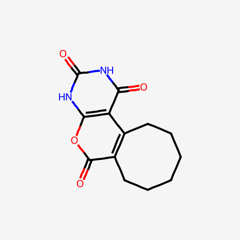 O=c1[nH]c(=O)c2c3c(c(=O)oc2[nH]1)CCCCCC3